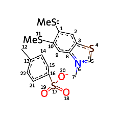 CSc1cc2sc[n+](C)c2cc1SC.Cc1ccc(S(=O)(=O)[O-])cc1